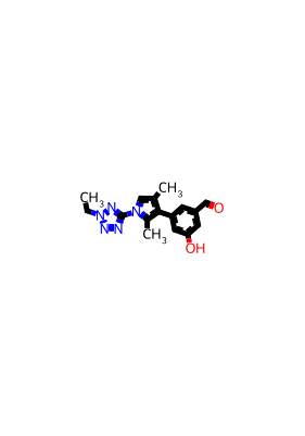 CCn1nnc(-n2cc(C)c(-c3cc(O)cc(C=O)c3)c2C)n1